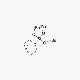 CCC(C)O[Si](OC(C)CC)(OC(C)CC)C12CCC(CC1)C2